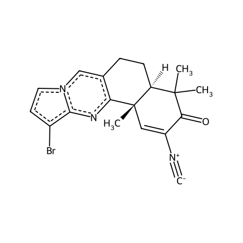 [C-]#[N+]C1=C[C@]2(C)c3nc4c(Br)ccn4cc3CC[C@H]2C(C)(C)C1=O